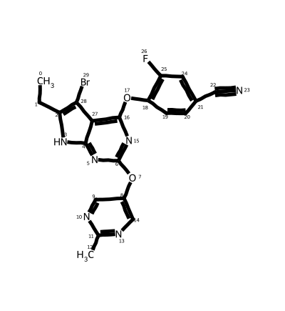 CCc1[nH]c2nc(Oc3cnc(C)nc3)nc(Oc3ccc(C#N)cc3F)c2c1Br